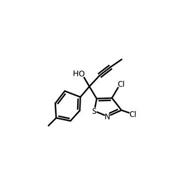 CC#CC(O)(c1ccc(C)cc1)c1snc(Cl)c1Cl